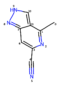 Cc1nc(C#N)cc2n[nH]cc12